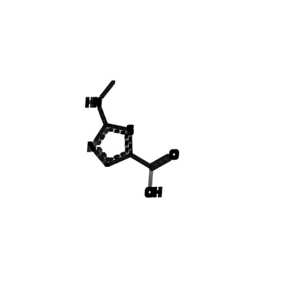 CNc1ncc(C(=O)O)s1